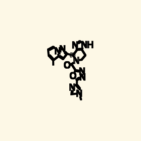 Cc1cccn2nc([C@H]3c4nc[nH]c4CCN3C(=O)c3nnc(-c4cn(C)cn4)o3)cc12